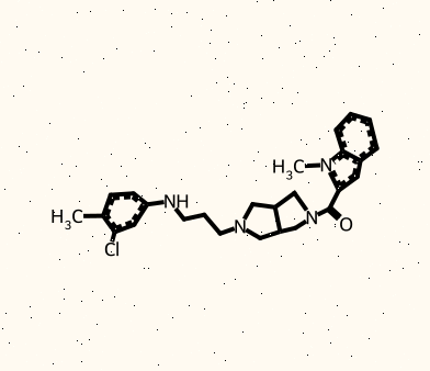 Cc1ccc(NCCCN2CC3CN(C(=O)c4cc5ccccc5n4C)CC3C2)cc1Cl